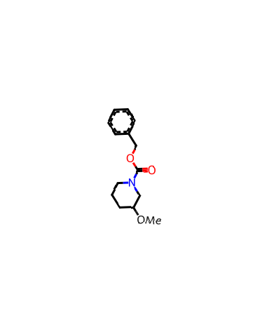 COC1CCCN(C(=O)OCc2ccccc2)C1